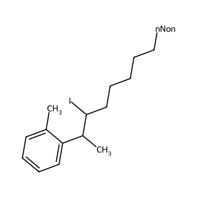 CCCCCCCCCCCCCCC(I)C(C)c1ccccc1C